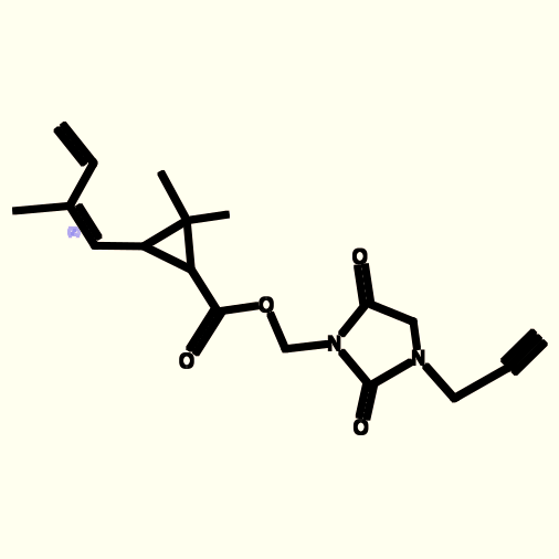 C#CCN1CC(=O)N(COC(=O)C2C(/C=C(/C)C=C)C2(C)C)C1=O